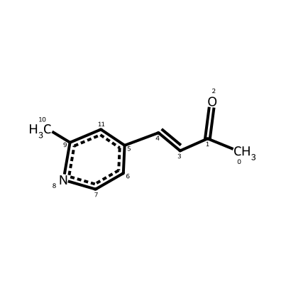 CC(=O)C=Cc1ccnc(C)c1